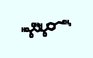 C/C=C/c1ccc(C(=O)NCC(O)C(=O)O)cc1